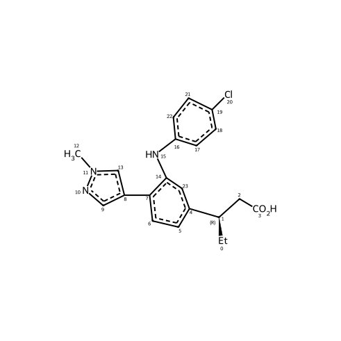 CC[C@H](CC(=O)O)c1ccc(-c2cnn(C)c2)c(Nc2ccc(Cl)cc2)c1